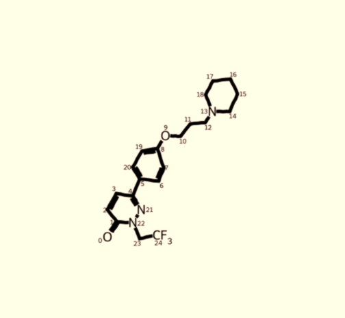 O=c1ccc(-c2ccc(OCCCN3CCCCC3)cc2)nn1CC(F)(F)F